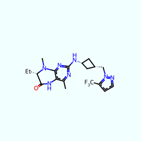 CC[C@H]1C(=O)Nc2c(C)nc(N[C@H]3C[C@@H](Cn4nccc4C(F)(F)F)C3)nc2N1C